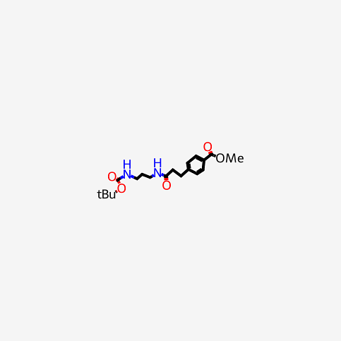 COC(=O)c1ccc(CCC(=O)NCCCNC(=O)OC(C)(C)C)cc1